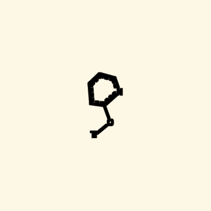 [Ti][O]c1ccccn1